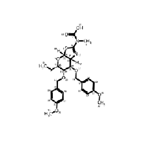 CC[C@H]1O[C@@H]2SC(N(C)C(=O)O)=N[C@@H]2[C@@H](OCc2ccc(OC)cc2)[C@@H]1OCc1ccc(OC)cc1